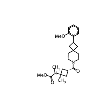 COC(=O)N(C)[C@]1(C)C[C@H](C(=O)N2CCC3(CC2)CC(c2ccccc2OC)C3)C1